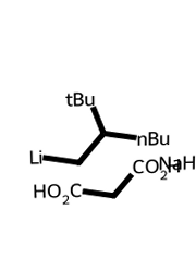 O=C(O)CC(=O)O.[Li][CH2]C(CCCC)C(C)(C)C.[NaH]